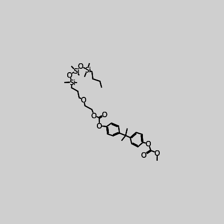 CCCC[Si](C)(C)O[Si](C)(C)O[Si](C)(C)CCCOCCOC(=O)Oc1ccc(C(C)(C)c2ccc(OC(=O)OC)cc2)cc1